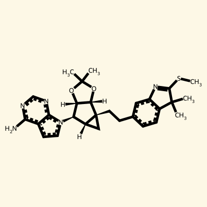 CSC1=Nc2cc(CC[C@@]34C[C@@H]3[C@@H](n3ccc5c(N)ncnc53)[C@@H]3OC(C)(C)O[C@@H]34)ccc2C1(C)C